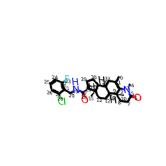 CC1=C2N(C)C(=O)CC[C@]2(C)[C@H]2CC[C@]3(C)[C@@H](C(=O)NCc4c(F)cccc4Cl)CC[C@H]3[C@@H]2C1